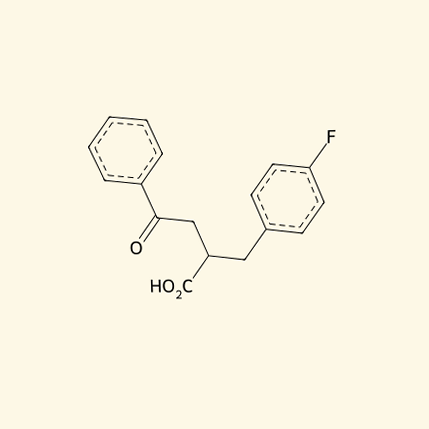 O=C(CC(Cc1ccc(F)cc1)C(=O)O)c1ccccc1